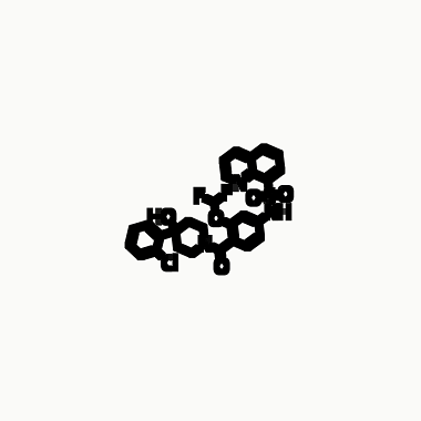 O=C(c1ccc(NS(=O)(=O)c2cccc3cccnc23)cc1OC(F)F)N1CCC(O)(c2ccccc2Cl)CC1